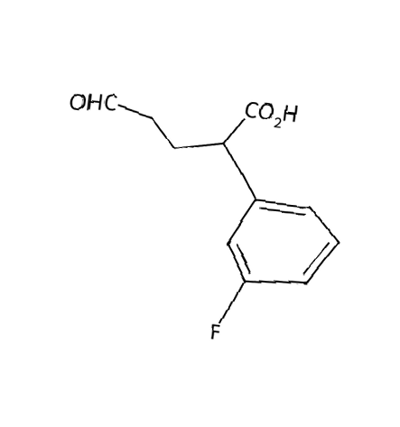 O=CCCC(C(=O)O)c1cccc(F)c1